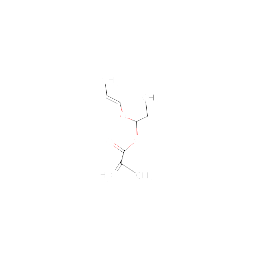 C=C(C)C(=O)OC(CC)OC=CC